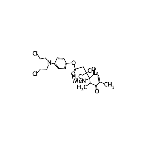 CNC1(C(C)(C)CC(=O)Oc2ccc(N(CCCl)CCCl)cc2)C(=O)C=C(C)C(=O)C1C